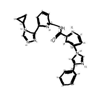 O=C(Nc1cccc(-c2nncn2C2CC2)n1)c1cc(-n2cnc(-c3ccccc3)c2)ccn1